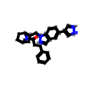 O=C(CCc1ccccc1)N1C2CCC1C(Cn1ncc3cc(-c4cn[nH]c4)ccc31)C2